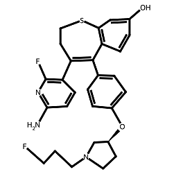 Nc1ccc(C2=C(c3ccc(O[C@H]4CCN(CCCF)C4)cc3)c3ccc(O)cc3SCC2)c(F)n1